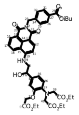 CCOC(=O)COc1cc(C(O)CNc2ccc3c4c(cccc24)C(=O)N(Cc2ccc(C(=O)OCC(C)C)cc2)C3=O)ccc1N(CC(=O)OCC)CC(=O)OCC